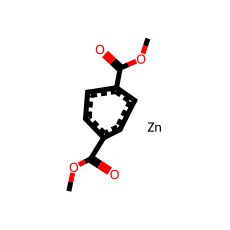 COC(=O)c1ccc(C(=O)OC)cc1.[Zn]